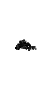 C[C@@H](Nc1nn(C)c(=O)c2nnc(N3CCOCC3)cc12)c1cccc(C(F)(F)F)c1F